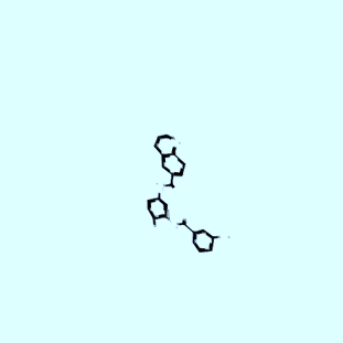 Cc1ccc(NC(=O)c2ccc3ncccc3c2)cc1NC(=O)c1cccc(O)c1